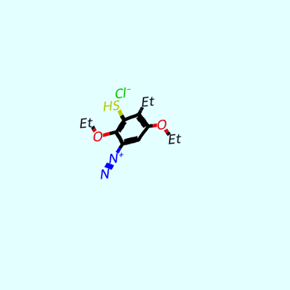 CCOc1cc([N+]#N)c(OCC)c(S)c1CC.[Cl-]